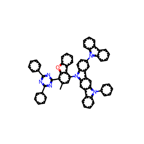 Cc1cc(-n2c3ccc(-n4c5ccccc5c5ccccc54)cc3c3cc4c(cc32)c2ccccc2n4-c2ccccc2)c2c(oc3ccccc32)c1-c1nc(-c2ccccc2)nc(-c2ccccc2)n1